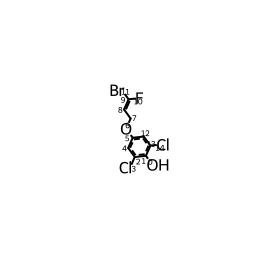 Oc1c(Cl)cc(OC/C=C(\F)Br)cc1Cl